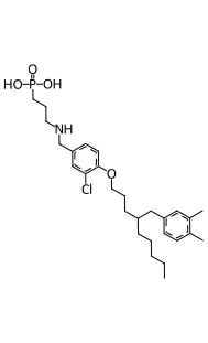 CCCCCC(CCCOc1ccc(CNCCCP(=O)(O)O)cc1Cl)Cc1ccc(C)c(C)c1